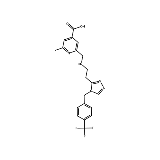 Cc1cc(C(=O)O)cc(CNCCc2nncn2Cc2ccc(C(F)(F)F)cc2)n1